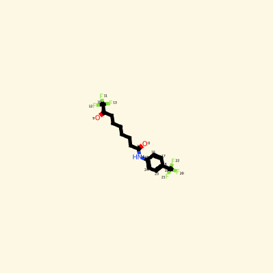 O=C(CCCCCCC(=O)C(F)(F)F)Nc1ccc(C(F)(F)F)cc1